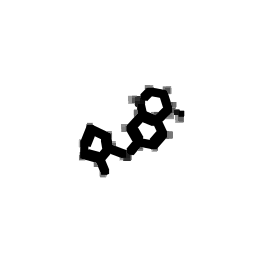 Cc1ccccc1Sc1ccc2c(c1)OCC[C@@H]2C